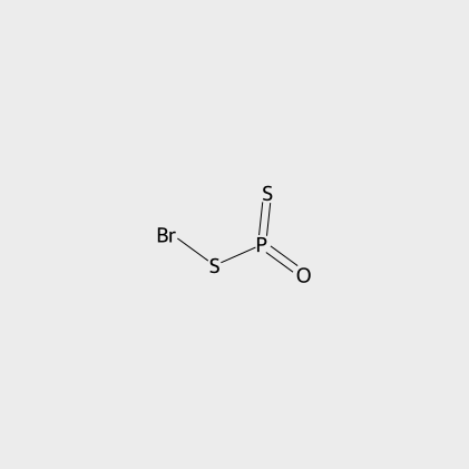 O=P(=S)SBr